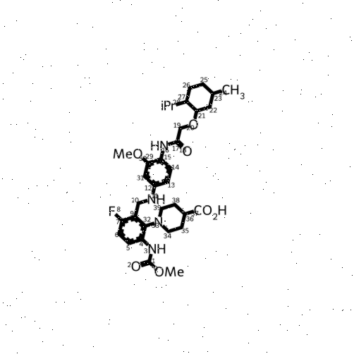 COC(=O)Nc1ccc(F)c(CNc2ccc(NC(=O)COC3CC(C)CCC3C(C)C)c(OC)c2)c1N1CCC(C(=O)O)CC1